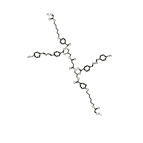 C=CC(=O)OCCCCCCOc1ccc(C(=O)OCC(COC(=O)CCC(=O)OCC(COC(=O)c2ccc(OCCCCCCOC(=O)C=C)cc2)OC(=O)c2ccc(/C=N/N=C/c3ccc(CCC)cc3)cc2)OC(=O)c2ccc(/C=N/N=C/c3ccc(CCC)cc3)cc2)cc1